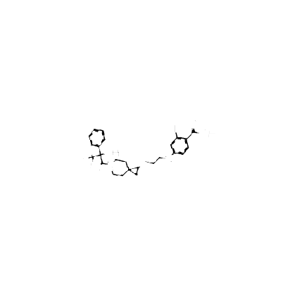 O=C(O)c1ccc(NCCC[C@@H]2CC23CCN(C(=O)C(O)(c2ccccc2)C(F)(F)F)CC3)cc1I